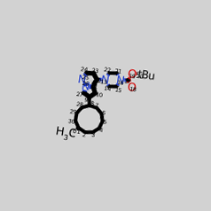 CC1CCCCCCC(c2cc3c(N4CCN(C(=O)OC(C)(C)C)CC4)ccnn3c2)CCC1